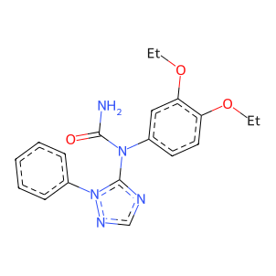 CCOc1ccc(N(C(N)=O)c2ncnn2-c2ccccc2)cc1OCC